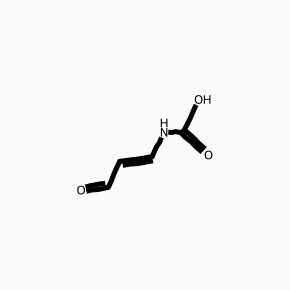 O=CC=CNC(=O)O